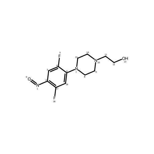 O=Nc1cc(F)c(N2CCN(CCO)CC2)cc1F